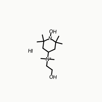 CC1(C)CC([N+](C)(C)CCO)CC(C)(C)N1O.I